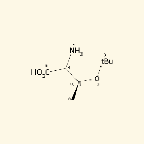 C[C@H](OC(C)(C)C)C(N)C(=O)O